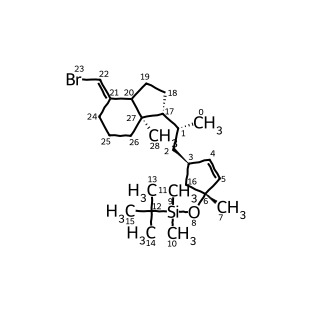 C[C@H](C[C@H]1C=C[C@](C)(O[Si](C)(C)C(C)(C)C)C1)[C@H]1CCC2/C(=C/Br)CCC[C@@]21C